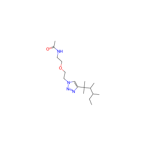 CCC(C)C(C)C(C)(C)c1cn(CCOCCNC(C)=O)nn1